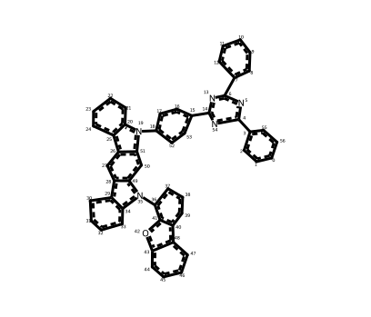 c1ccc(-c2nc(-c3ccccc3)nc(-c3ccc(-n4c5ccccc5c5cc6c7ccccc7n(-c7cccc8c7oc7ccccc78)c6cc54)cc3)n2)cc1